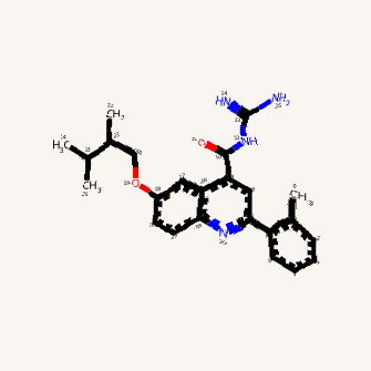 Cc1ccccc1-c1cc(C(=O)NC(=N)N)c2cc(OCC(C)C(C)C)ccc2n1